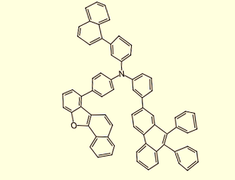 c1ccc(-c2c(-c3ccccc3)c3cc(-c4cccc(N(c5ccc(-c6cccc7oc8c9ccccc9ccc8c67)cc5)c5cccc(-c6cccc7ccccc67)c5)c4)ccc3c3ccccc23)cc1